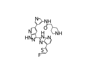 O=C(CC1CCNCC1)Nc1cncc(-c2cnc3[nH]nc(-c4nc5c(-c6ccc(F)s6)ccnc5[nH]4)c3c2)c1